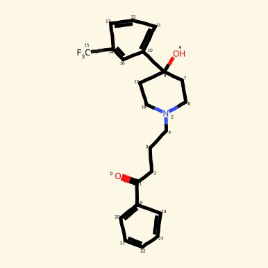 O=C(CCCN1CCC(O)(c2cccc(C(F)(F)F)c2)CC1)c1ccccc1